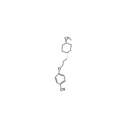 C[C@H]1CC[C@H](CCCOc2ccc(C#N)cc2)CC1